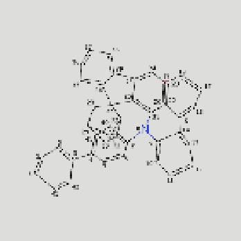 c1ccc(-c2ccc(N(c3ccccc3-c3ccccc3)c3cccc4c3C3(CC5CCC3C5)c3ccccc3-4)cc2)cc1